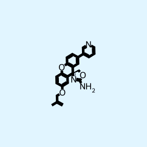 C=C(C)COc1ccc2c(c1)[C@]1(COC(N)=N1)c1cc(-c3cccnc3)ccc1O2